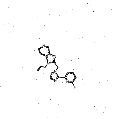 C=CCn1c(Cn2ccnc2-c2cccc(F)n2)nc2cnccc21